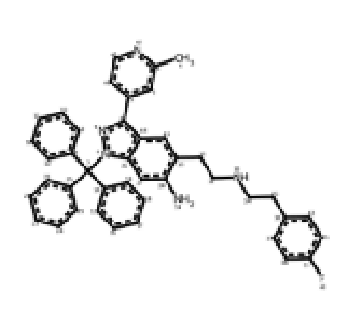 Cc1cc(-c2nn(C(c3ccccc3)(c3ccccc3)c3ccccc3)c3cc(N)c(CCNCCc4ccc(F)cc4)cc23)ccn1